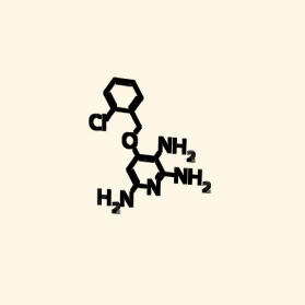 Nc1cc(OCc2ccccc2Cl)c(N)c(N)n1